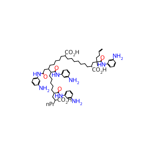 C=CCCC(C)(CC(CCCCCCCC(CCCCCC(CC(=O)Nc1cccc(N)c1)C(CCCCCC(CC(CCC)C(=O)O)C(=O)Nc1cccc(N)c1)C(=O)Nc1cccc(N)c1)C(=O)O)C(=O)O)C(=O)Nc1cccc(N)c1